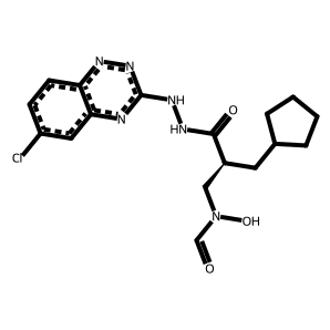 O=CN(O)C[C@H](CC1CCCC1)C(=O)NNc1nnc2ccc(Cl)cc2n1